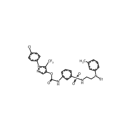 CCN(CCNS(=O)(=O)c1cccc(NC(=O)Oc2cnn(-c3ccc(Cl)cc3)c2C(F)(F)F)c1)c1cccc(C)c1